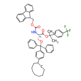 CC(C)(OC(=O)[C@H](COC(c1ccccc1)(c1ccccc1)c1ccc(C2CCCCCCCC2)cc1)NC(=O)OCC1c2ccccc2-c2ccccc21)c1ccc(C(F)(F)F)cc1